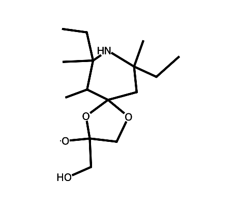 CCC1(C)CC2(OCC([O])(CO)O2)C(C)C(C)(CC)N1